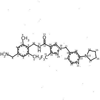 Cc1cc(CN)cc(C)c1CNC(=O)c1cn(Cc2ccnc(N3CCCC3)c2)nc1C(F)(F)F